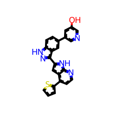 Oc1cncc(-c2ccc3[nH]nc(-c4cc5c(-c6cccs6)ccnc5[nH]4)c3c2)c1